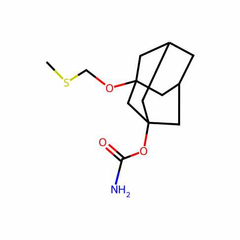 CSCOC12CC3CC(C1)CC(OC(N)=O)(C3)C2